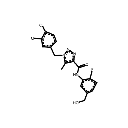 Cc1c(C(=O)Nc2cc(CO)ccc2F)nnn1Cc1ccc(Cl)c(Cl)c1